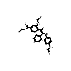 CCOC(=O)c1ccc(/C(C)=C(/Nc2ccc(NC=O)cc2)c2ccccc2)c(NC=O)c1